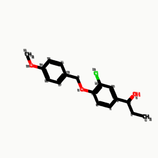 CCC(O)c1ccc(OCc2ccc(OC)cc2)c(Cl)c1